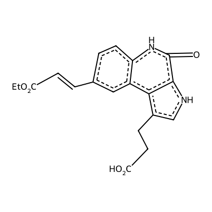 CCOC(=O)C=Cc1ccc2[nH]c(=O)c3[nH]cc(CCC(=O)O)c3c2c1